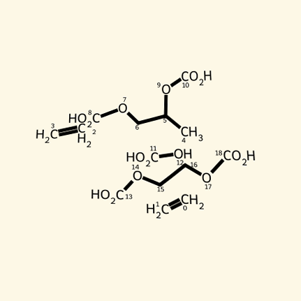 C=C.C=C.CC(COC(=O)O)OC(=O)O.O=C(O)O.O=C(O)OCCOC(=O)O